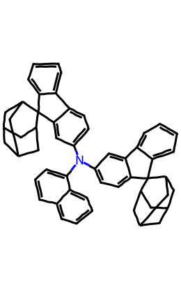 c1ccc2c(c1)-c1cc(N(c3ccc4c(c3)C3(c5ccccc5-4)C4CC5CC(C4)CC3C5)c3cccc4ccccc34)ccc1C21C2CC3CC(C2)CC1C3